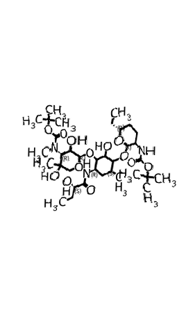 CC[C@@H]1CCC(NC(=O)OC(C)(C)C)[C@@H](OC2C(O)C(O[C@H]3OCC(C)(O)[C@H](N(C)C(=O)OC(C)(C)C)C3O)[C@H](NC(=O)[C@@H](O)CC)C[C@@H]2C)O1